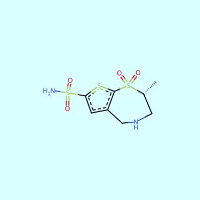 C[C@@H]1CNCc2cc(S(N)(=O)=O)sc2S1(=O)=O